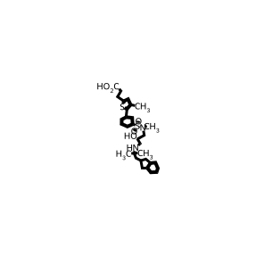 Cc1cc(CCC(=O)O)sc1-c1cccc(S(=O)(=O)N(C)CC(O)CNC(C)(C)CC2Cc3ccccc3C2)c1